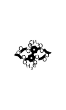 COc1cc(C(=O)OCC2CO2)cc(-c2cc(C(=O)OCC3CO3)cc(OC)c2OCC2CO2)c1OCC1CO1